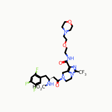 O=C(O)N[C@@H](CC(=O)N1CCn2c(C(F)(F)F)nc(C(=O)NCCOCCN3CCOCC3)c2C1)Cc1cc(F)c(F)cc1F